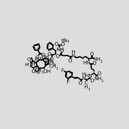 CC(=O)O[C@@]12CO[C@@H]1C[C@H](O)[C@@]1(C)C(=O)[C@H](O)C3=C(C)[C@@H](OC(=O)[C@H](OC(=O)CCC(=O)NCCCCC(NC(=O)CC[C@H](NC(=O)C(C)NC(=O)/C=C/c4ccc(F)cc4F)C(N)=O)C(N)=O)[C@@H](NC(=O)OC(C)(C)C)c4ccccc4)C[C@@](O)([C@@H](OC(=O)c4ccccc4)[C@H]21)C3(C)C